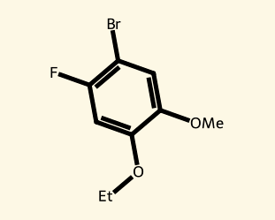 CCOc1cc(F)c(Br)cc1OC